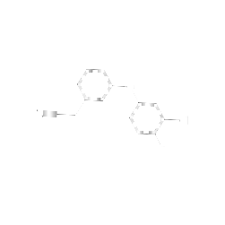 N#CCc1cccc(Oc2ccc(Cl)c(Cl)c2)c1